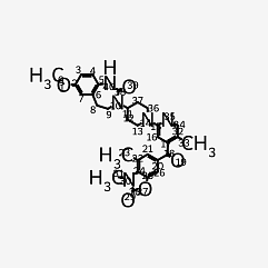 COc1ccc2c(c1)CCN(C1CCN(c3cc(C(=O)c4cc(C)c5c(c4)oc(=O)n5C)c(C)cn3)CC1)C(=O)N2